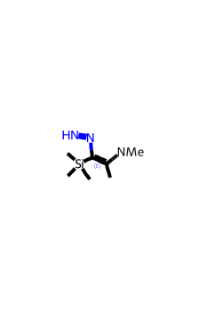 CN/C(C)=C(\N=N)[Si](C)(C)C